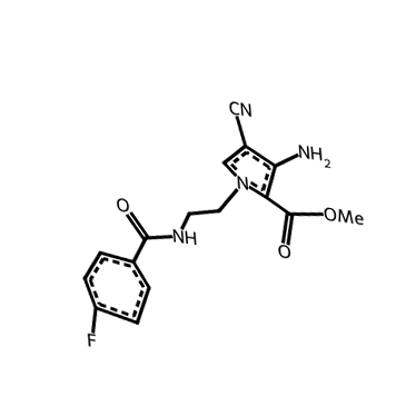 COC(=O)c1c(N)c(C#N)cn1CCNC(=O)c1ccc(F)cc1